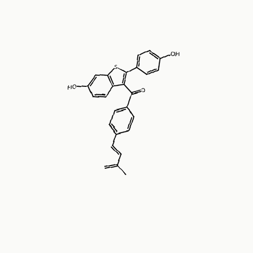 C=C(C)/C=C/c1ccc(C(=O)c2c(-c3ccc(O)cc3)sc3cc(O)ccc23)cc1